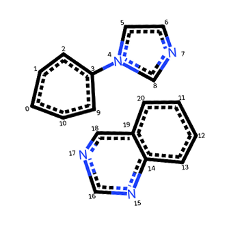 c1ccc(-n2ccnc2)cc1.c1ccc2ncncc2c1